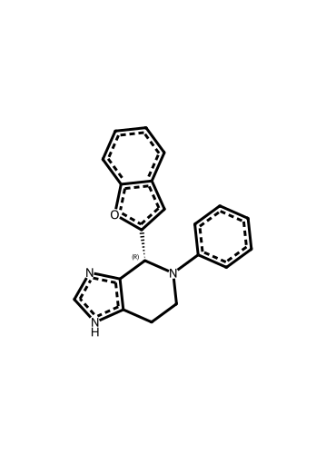 c1ccc(N2CCc3[nH]cnc3[C@@H]2c2cc3ccccc3o2)cc1